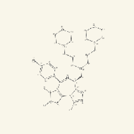 Cc1sc2c(c1C)C(c1ccc(Cl)cc1)=N[C@@H](CN(CCCN1CCOCC1)CCCN1CCOCC1)c1nnc(C)n1-2